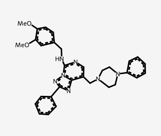 COc1ccc(CNc2ncc(CN3CCN(c4ccccc4)CC3)c3nc(-c4ccccc4)nn23)cc1OC